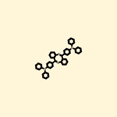 c1ccc(N(c2ccccc2)c2ccc(/C3=N/c4ccccc4/C(c4ccc(N(c5ccccc5)c5ccccc5)cc4)=N\c4ccccc43)cc2)cc1